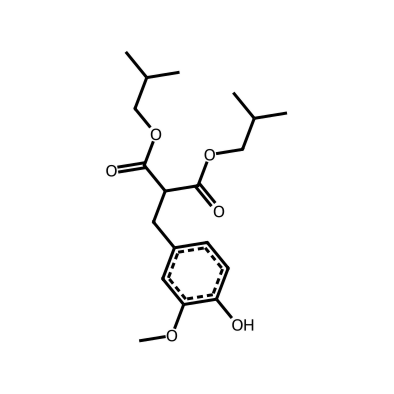 COc1cc(CC(C(=O)OCC(C)C)C(=O)OCC(C)C)ccc1O